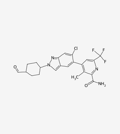 Cc1c(-c2cc3cn(C4CCC(C=O)CC4)nc3cc2Cl)cc(C(F)(F)F)nc1C(N)=O